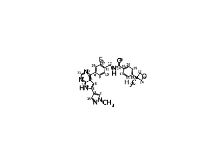 Cn1cc(-c2cc3c(-c4ccc(CNC(=O)c5ccc(C6(C)COC6)cc5)c(F)c4)ncnc3[nH]2)cn1